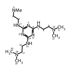 CNCCNc1nc(NCCN(C)C)nc(NCCN(C)C)n1